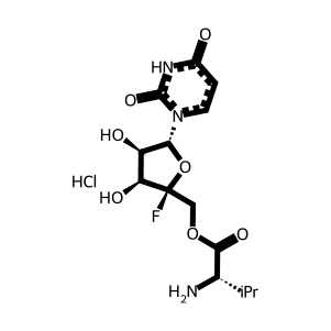 CC(C)[C@H](N)C(=O)OC[C@@]1(F)O[C@@H](n2ccc(=O)[nH]c2=O)[C@H](O)[C@@H]1O.Cl